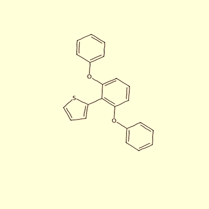 c1ccc(Oc2cccc(Oc3ccccc3)c2-c2cccs2)cc1